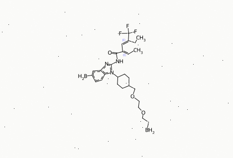 BCCOCCOCC1CCC(n2c(NC(=O)C(=C/C)/C=C(\CC)C(F)(F)F)nc3cc(B)ccc32)CC1